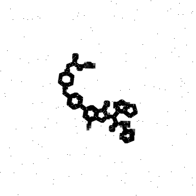 CC(C)(C)OC(=O)CN1CCN(Cc2ccc(-c3cc(F)c4c(c3)C(=O)N(C(C(=O)Nc3nccs3)c3ncn5c3CCC5)C4)cc2)CC1